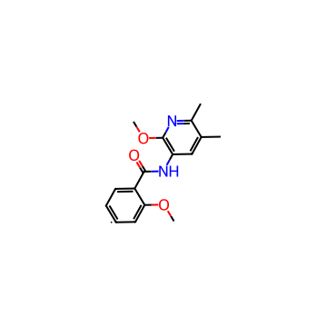 COc1c[c]ccc1C(=O)Nc1cc(C)c(C)nc1OC